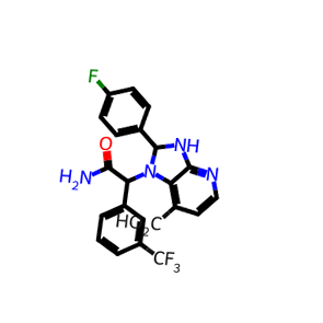 NC(=O)C(c1cccc(C(F)(F)F)c1)N1c2c(C(=O)O)ccnc2NC1c1ccc(F)cc1